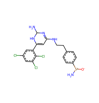 NC1N=C(NCCc2ccc([S+](N)[O-])cc2)C=C(c2cc(Cl)cc(Cl)c2Cl)N1